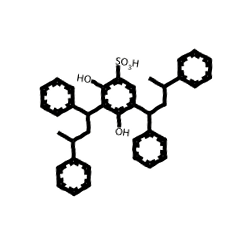 CC(CC(c1ccccc1)c1cc(S(=O)(=O)O)c(O)c(C(CC(C)c2ccccc2)c2ccccc2)c1O)c1ccccc1